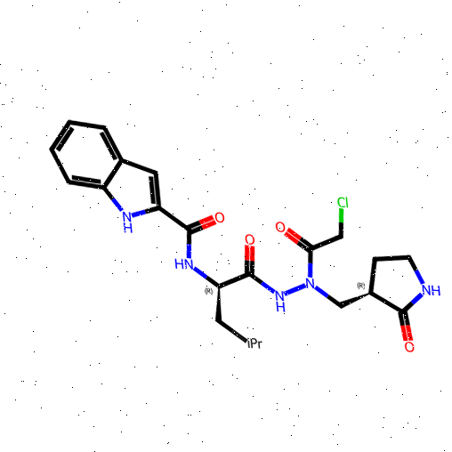 CC(C)C[C@@H](NC(=O)c1cc2ccccc2[nH]1)C(=O)NN(C[C@H]1CCNC1=O)C(=O)CCl